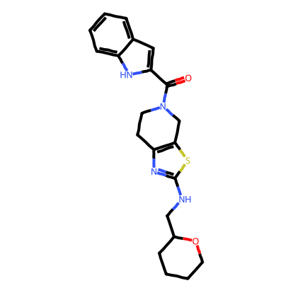 O=C(c1cc2ccccc2[nH]1)N1CCc2nc(NCC3CCCCO3)sc2C1